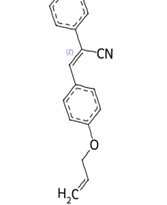 C=CCOc1ccc(/C=C(\C#N)c2ccccc2)cc1